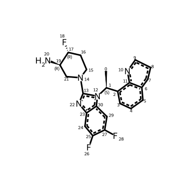 C[C@@H](c1cccc2cccnc12)n1c(N2CC[C@@H](F)[C@H](N)C2)nc2cc(F)c(F)cc21